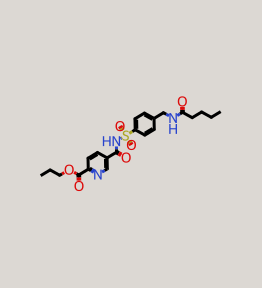 CCCCC(=O)NCc1ccc(S(=O)(=O)NC(=O)c2ccc(C(=O)OCCC)nc2)cc1